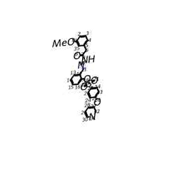 COc1cccc(CC(=O)N/N=C/c2ccccc2OS(=O)(=O)c2ccc(Oc3cccnc3)cc2)c1